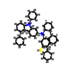 c1ccc(-c2ccccc2N(c2ccc3c(c2)sc2ccccc23)c2ccc3c4c(-c5ccccc5)cccc4n(-c4ccccc4)c3c2)cc1